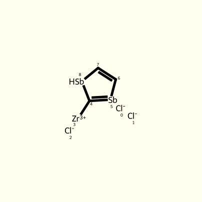 [Cl-].[Cl-].[Cl-].[Zr+3][C]1=[Sb][CH]=[CH][SbH]1